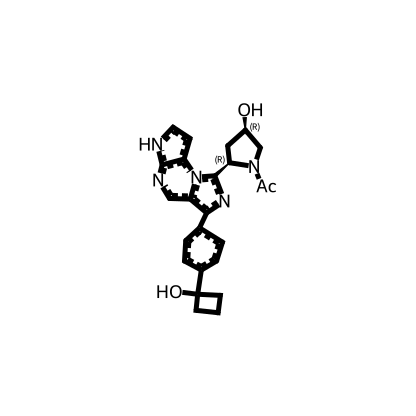 CC(=O)N1C[C@H](O)C[C@@H]1c1nc(-c2ccc(C3(O)CCC3)cc2)c2cnc3[nH]ccc3n12